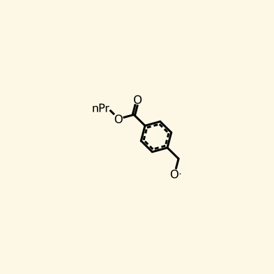 CCCOC(=O)c1ccc(C[O])cc1